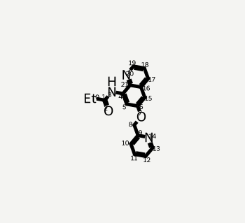 CCC(=O)Nc1cc(OCc2ccccn2)cc2cccnc12